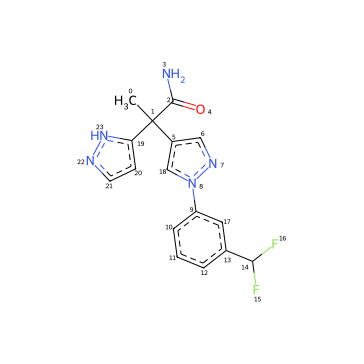 CC(C(N)=O)(c1cnn(-c2cccc(C(F)F)c2)c1)c1ccn[nH]1